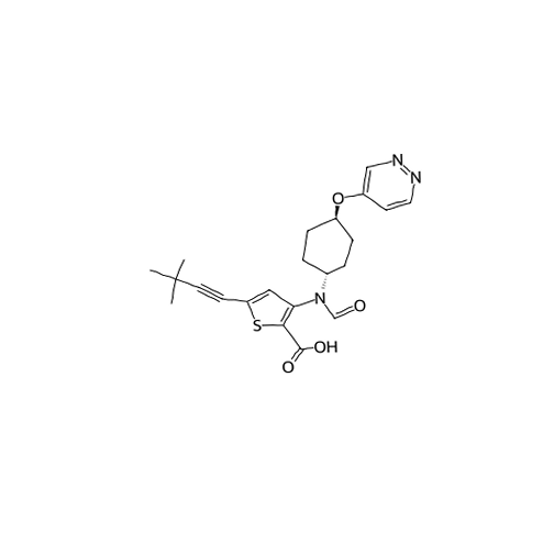 CC(C)(C)C#Cc1cc(N(C=O)[C@H]2CC[C@H](Oc3ccnnc3)CC2)c(C(=O)O)s1